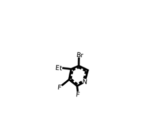 CCc1c(Br)cnc(F)c1F